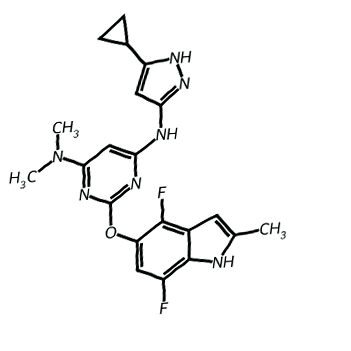 Cc1cc2c(F)c(Oc3nc(Nc4cc(C5CC5)[nH]n4)cc(N(C)C)n3)cc(F)c2[nH]1